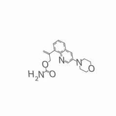 C=C(COC(N)=O)c1cccc2cc(N3CCOCC3)cnc12